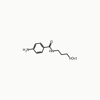 CCCCCCCCCCCNC(=O)c1ccc(N)cc1